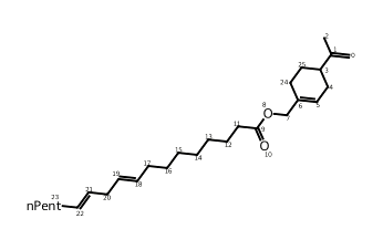 C=C(C)C1CC=C(COC(=O)CCCCCCCC=CCC=CCCCCC)CC1